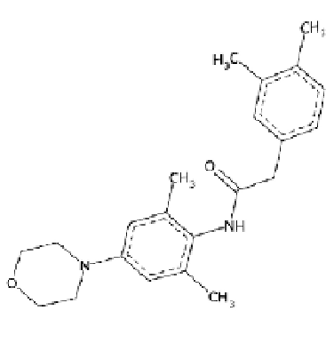 Cc1ccc(CC(=O)Nc2c(C)cc(N3CCOCC3)cc2C)cc1C